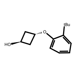 CC(C)(C)c1ccccc1O[C@H]1C[C@H](O)C1